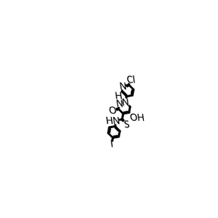 O=C1NN(c2ccc(Cl)nc2)CC(O)=C1C(=S)Nc1ccc(I)cc1